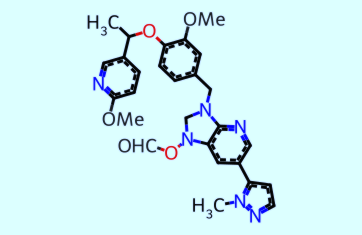 COc1ccc(C(C)Oc2ccc(CN3CN(OC=O)c4cc(-c5ccnn5C)cnc43)cc2OC)cn1